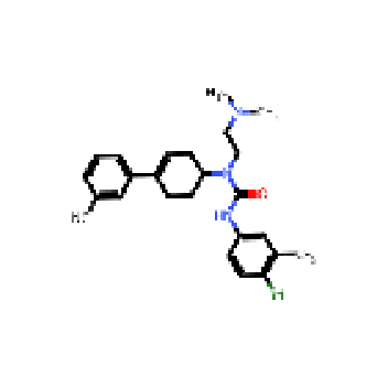 CN(C)CCN(C(=O)Nc1ccc(Cl)c(C(F)(F)F)c1)C1CC=C(c2cccc(C#N)c2)CC1